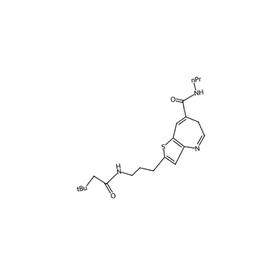 CCCNC(=O)C1=Cc2sc(CCCNC(=O)CC(C)(C)C)cc2N=CC1